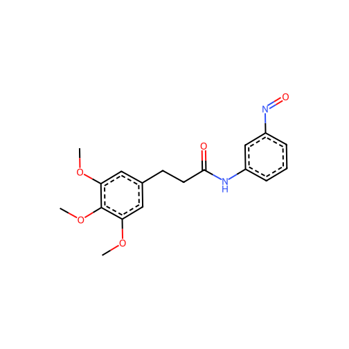 COc1cc(CCC(=O)Nc2cccc(N=O)c2)cc(OC)c1OC